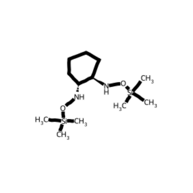 C[Si](C)(C)ON[C@@H]1CCCC[C@H]1NO[Si](C)(C)C